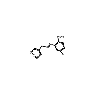 COc1ccc(C)cc1N=CCc1cnccn1